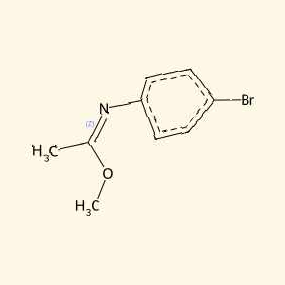 CO/C(C)=N\c1ccc(Br)cc1